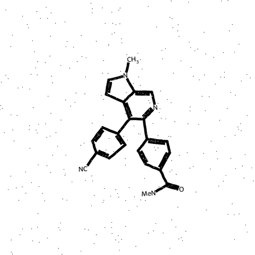 CNC(=O)c1ccc(-c2ncc3c(ccn3C)c2-c2ccc(C#N)cc2)cc1